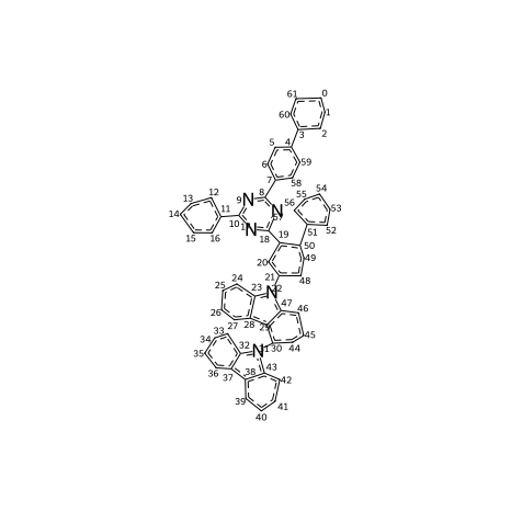 c1ccc(-c2ccc(-c3nc(-c4ccccc4)nc(-c4cc(-n5c6ccccc6c6c(-n7c8ccccc8c8ccccc87)cccc65)ccc4-c4ccccc4)n3)cc2)cc1